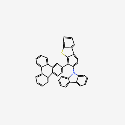 c1ccc2c(c1)sc1c(-c3ccc4c5ccccc5c5ccccc5c4c3)c(-n3c4ccccc4c4ccccc43)ccc12